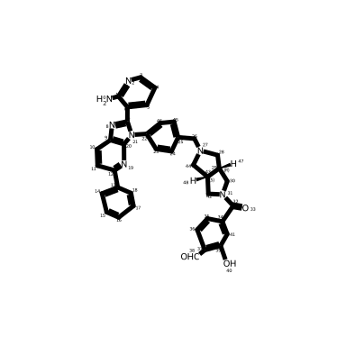 Nc1ncccc1-c1nc2ccc(-c3ccccc3)nc2n1-c1ccc(CN2C[C@@H]3CN(C(=O)c4ccc(C=O)c(O)c4)C[C@@H]3C2)cc1